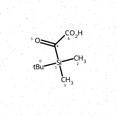 CC(C)(C)[Si](C)(C)C(=O)C(=O)O